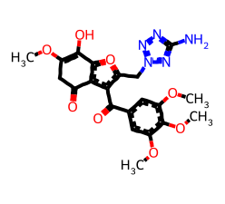 COC1=C(O)c2oc(Cn3nnc(N)n3)c(C(=O)c3cc(OC)c(OC)c(OC)c3)c2C(=O)C1